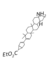 CCOC(=O)C1C2C=C(C3=CCC4(C)C(CCC5(C)C6CCC7(N)CCC[C@@H]7C6CCC54)C3(C)C)CC21